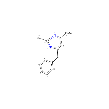 COc1cc(Cc2ccccc2)nc(C(C)C)n1